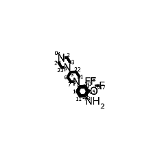 CN1CCN(C2CCN(c3ccc(N)c(OC(F)F)c3F)CC2)CC1